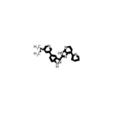 CN(C)c1cncc(-c2ccc3[nH]nc(-c4nc5c(-c6ccccn6)ccnc5[nH]4)c3c2)c1